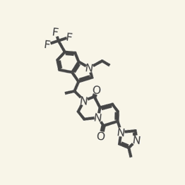 CCn1cc(C(C)N2CCn3c(ccc(-n4cnc(C)c4)c3=O)C2=O)c2ccc(C(F)(F)F)cc21